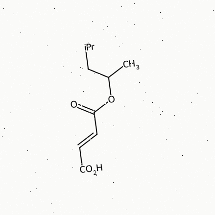 CC(C)CC(C)OC(=O)/C=C/C(=O)O